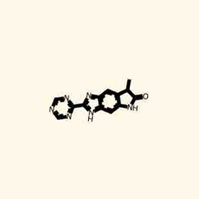 CC1C(=O)Nc2cc3[nH]c(-c4ncncn4)nc3cc21